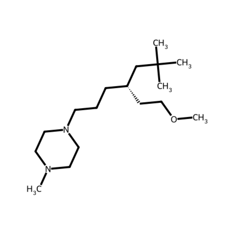 COCC[C@H](CCCN1CCN(C)CC1)CC(C)(C)C